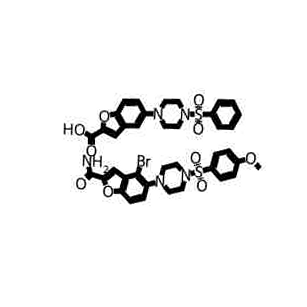 COc1ccc(S(=O)(=O)N2CCN(c3ccc4oc(C(N)=O)cc4c3Br)CC2)cc1.O=C(O)c1cc2cc(N3CCN(S(=O)(=O)c4ccccc4)CC3)ccc2o1